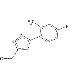 OCc1cc(-c2ccc(F)cc2C(F)(F)F)no1